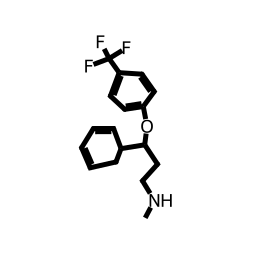 CNCCC(Oc1ccc(C(F)(F)F)cc1)C1C=CC=CC1